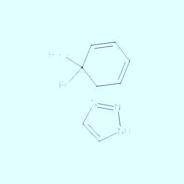 CCC1(C)C=CC=CC1.c1c[nH]nn1